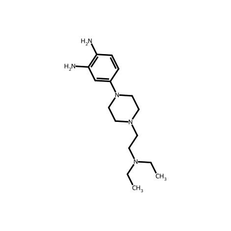 CCN(CC)CCN1CCN(c2ccc(N)c(N)c2)CC1